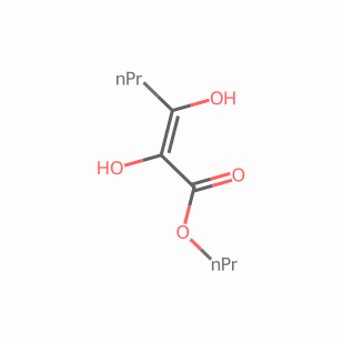 CCCOC(=O)C(O)=C(O)CCC